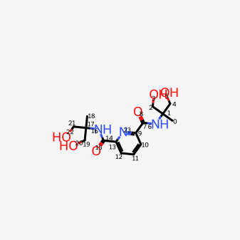 CC(CO)(CO)NC(=O)c1cccc(C(=O)NC(C)(CO)CO)n1